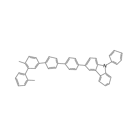 Cc1ccccc1-c1cc(-c2ccc(-c3ccc(-c4ccc5c(c4)c4ccccc4n5-c4ccccc4)cc3)cc2)ccc1C